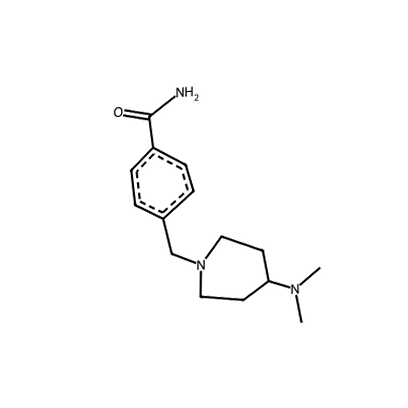 CN(C)C1CCN(Cc2ccc(C(N)=O)cc2)CC1